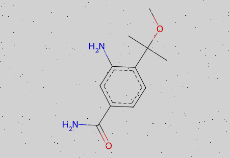 COC(C)(C)c1ccc(C(N)=O)cc1N